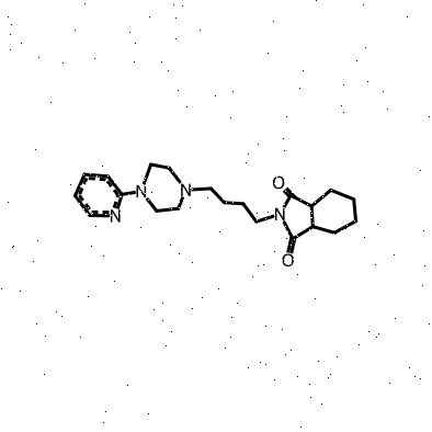 O=C1C2CCCCC2C(=O)N1CCCCN1CCN(c2ccccn2)CC1